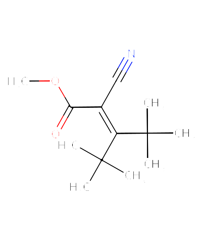 COC(=O)C(C#N)=C(C(C)(C)C)C(C)(C)C